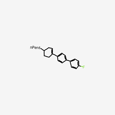 CCCCCC1CC=C(c2ccc(-c3ccc(F)cc3)cc2)CC1